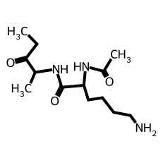 CCC(=O)C(C)NC(=O)C(CCCCN)NC(C)=O